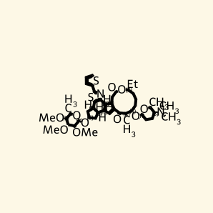 CC[C@H]1CCC[C@H](O[C@H]2CC[C@H](N(C)C)C(C)O2)[C@@H](C)C(=O)C2=C[C@H]3[C@@H]4C[C@H](O[C@@H]5OC(C)[C@H](OC)C(OC)C5OC)C[C@H]4c4sc(-c5cccs5)nc4[C@H]3[C@@H]2CC(=O)O1